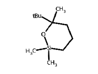 CC(C)(C)C1(C)CCC[Si](C)(C)O1